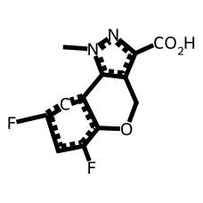 Cn1nc(C(=O)O)c2c1-c1cc(F)cc(F)c1OC2